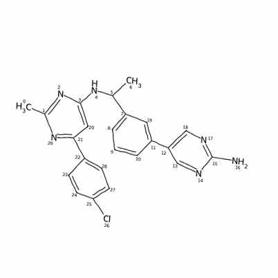 Cc1nc(NC(C)c2cccc(-c3cnc(N)nc3)c2)cc(-c2ccc(Cl)cc2)n1